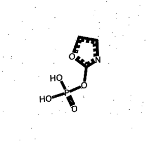 O=P(O)(O)Oc1ncco1